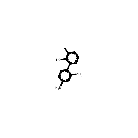 Cc1cccc(-c2ccc(N)cc2N)c1O